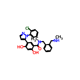 CNCc1ccccc1CN(C)C(=O)c1cc(-c2ccnn2-c2ccccc2Cl)c(O)cc1O